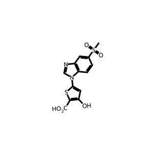 CS(=O)(=O)c1ccc2c(c1)ncn2-c1cc(O)c(C(=O)O)s1